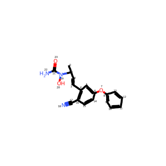 CC(C=Cc1cc(Oc2ccccc2)ccc1C#N)N(O)C(N)=O